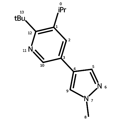 CC(C)c1cc(-c2cnn(C)c2)cnc1C(C)(C)C